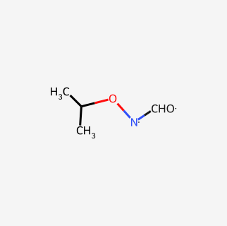 CC(C)O[N][C]=O